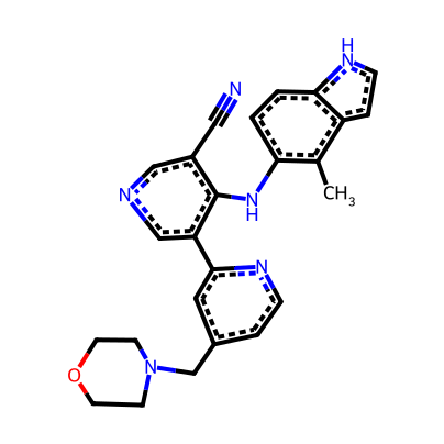 Cc1c(Nc2c(C#N)cncc2-c2cc(CN3CCOCC3)ccn2)ccc2[nH]ccc12